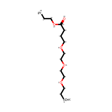 CCCCCCCCCCCCOCCOCCOCCCC(=O)OCCC(C)C